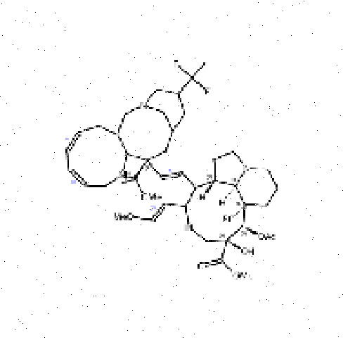 CC[C@]12CCCN3CC[C@@H](C(/C=C/[C@@]4(C(=O)OC)CC5CC(C(C)(F)F)CN(C5)CC5C/C=C\C=C/CNC54)C(/C=C/OC)NC[C@@](O)(C(=O)OC)[C@@H]1OC(C)=O)[C@@H]32